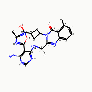 Cc1noc(-c2c(N)ncnc2N[C@@H](C)c2nc3cccc(C)c3c(=O)n2C2CC(CO)C2)n1